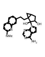 CNc1ccc2ccc(CCC34CC3CC(O)C4(O)n3ccc4c(N)ncnc43)cc2n1